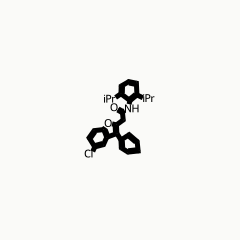 CC(C)c1cccc(C(C)C)c1NC(=O)Cc1oc2ccc(Cl)cc2c1-c1ccccc1